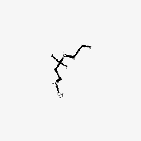 CCCOC(C)(C)C/C=N/O